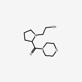 O=C(C1CCCN1CCO)N1CCOCC1